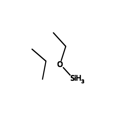 CCC.CCO[SiH3]